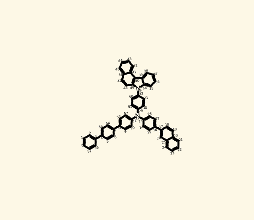 c1ccc(-c2ccc(-c3ccc(N(c4ccc(-c5ccc6ccccc6c5)cc4)c4ccc(-n5c6ccccc6c6c7ccccc7ccc65)cc4)cc3)cc2)cc1